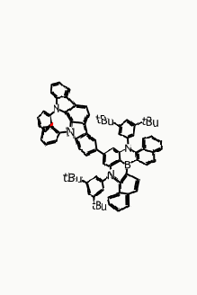 CC(C)(C)c1cc(N2c3cc(-c4ccc5c(c4)c4ccc6c7ccccc7n(-c7ccccc7)c6c4n5-c4ccccc4)cc4c3B(c3ccc5ccccc5c32)c2ccc3ccccc3c2N4c2cc(C(C)(C)C)cc(C(C)(C)C)c2)cc(C(C)(C)C)c1